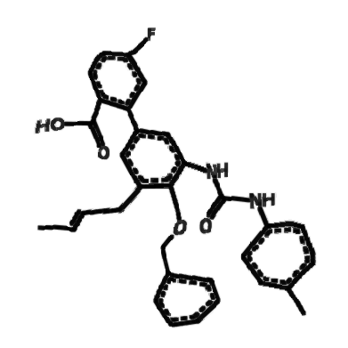 CC=CCc1cc(-c2cc(F)ccc2C(=O)O)cc(NC(=O)Nc2ccc(C)cc2)c1OCc1ccccc1